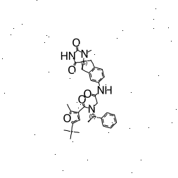 Cc1oc(C(C)(C)C)cc1C(=O)N(CC(=O)Nc1ccc2c(c1)C[C@@]1(C2)C(=O)NC(=O)N1C)[C@H](C)c1ccccc1